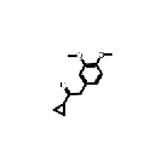 COc1ccc(CC(=O)C2CC2)cc1OC